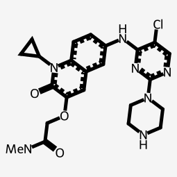 CNC(=O)COc1cc2cc(Nc3nc(N4CCNCC4)ncc3Cl)ccc2n(C2CC2)c1=O